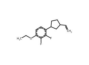 C=CC1CCC(c2ccc(OCC)c(F)c2F)C1